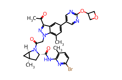 CC(=O)c1nn(CC(=O)N2[C@H](C(=O)Nc3nc(Br)ccc3C)C[C@@]3(C)C[C@@H]23)c2c(C)cc(-c3cnc(OC4COC4)nc3)cc12